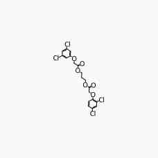 O=C(COc1cc(Cl)cc(Cl)c1)OCCCOC(=O)COc1ccc(Cl)cc1Cl